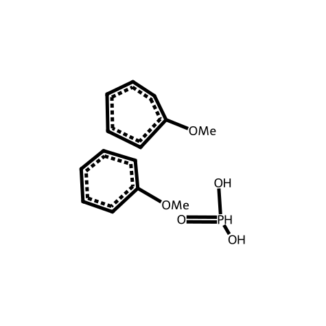 COc1ccccc1.COc1ccccc1.O=[PH](O)O